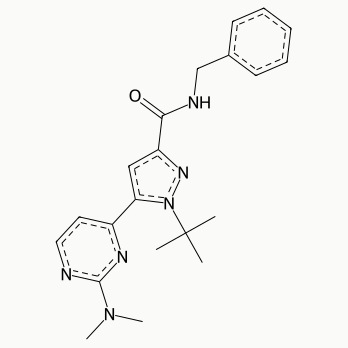 CN(C)c1nccc(-c2cc(C(=O)NCc3ccccc3)nn2C(C)(C)C)n1